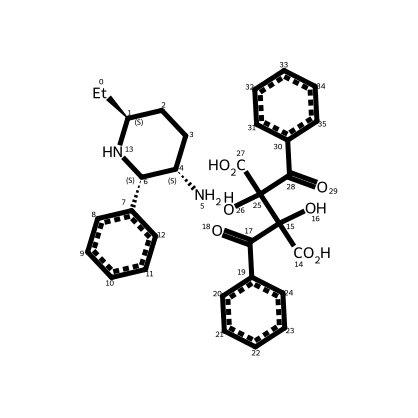 CC[C@H]1CC[C@H](N)[C@H](c2ccccc2)N1.O=C(O)C(O)(C(=O)c1ccccc1)C(O)(C(=O)O)C(=O)c1ccccc1